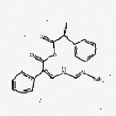 CC(C(=O)OC(=O)C(=CNC=NN)c1ccccc1)c1ccccc1